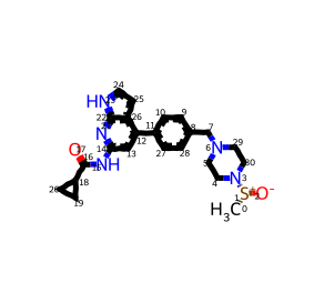 C[S+]([O-])N1CCN(Cc2ccc(-c3cc(NC(=O)C4CC4)nc4[nH]ccc34)cc2)CC1